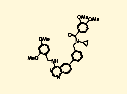 COc1ccc(CNc2ncnc3ccc(-c4cccc(CN(C(=O)c5ccc(OC)c(OC)c5)C5CC5)c4)cc23)c(OC)c1